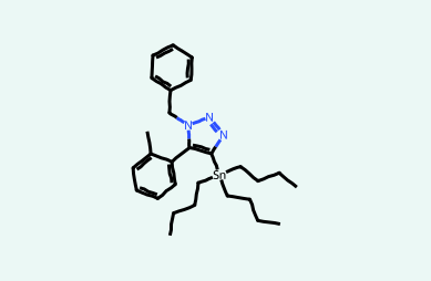 CCC[CH2][Sn]([CH2]CCC)([CH2]CCC)[c]1nnn(Cc2ccccc2)c1-c1ccccc1C